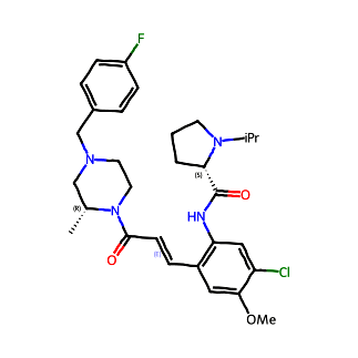 COc1cc(/C=C/C(=O)N2CCN(Cc3ccc(F)cc3)C[C@H]2C)c(NC(=O)[C@@H]2CCCN2C(C)C)cc1Cl